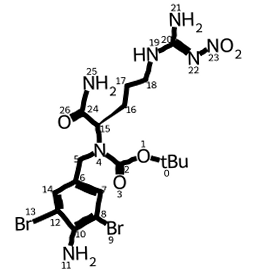 CC(C)(C)OC(=O)N(Cc1cc(Br)c(N)c(Br)c1)[C@H](CCCNC(N)=N[N+](=O)[O-])C(N)=O